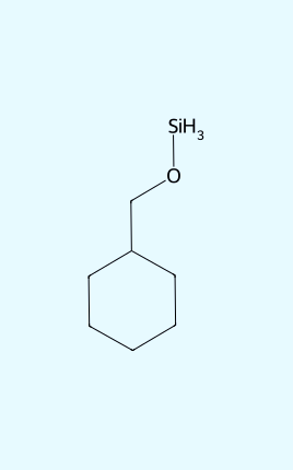 [SiH3]OCC1CCCCC1